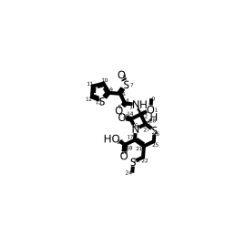 CO[C@@]1(NC(=O)C(=S=O)c2cccs2)C(=O)N2C(C(=O)O)=C(CSC)CS[C@@H]21